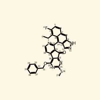 CCc1c(F)ccc2cc3[nH]ncc3c(-c3nccc4c3C(=O)c3nc(SC)nc(OCc5ccccc5)c3-4)c12